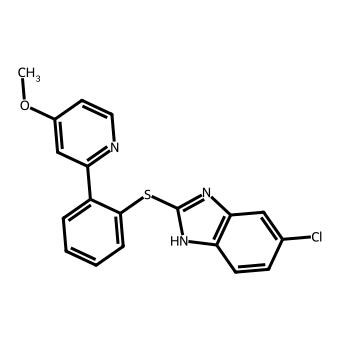 COc1ccnc(-c2ccccc2Sc2nc3cc(Cl)ccc3[nH]2)c1